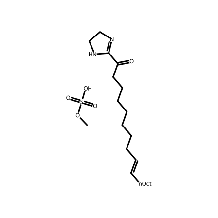 CCCCCCCCC=CCCCCCCCC(=O)C1=NCCN1.COS(=O)(=O)O